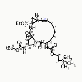 CCOC(=O)[C@@]12C[C@@H]1/C=C\CCCCC[C@H](NC(=O)OCC[Si](C)(C)C)C(=O)N1C[C@H](NC(=O)OC(C)(C)C)C[C@H]1C(=O)N2